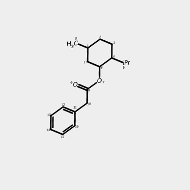 CC1CCC(C(C)C)C(OC(=O)Cc2ccccc2)C1